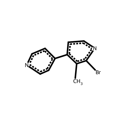 Cc1c(-c2ccncc2)ccnc1Br